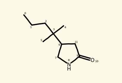 CCCC(C)(C)C1CNC(=O)C1